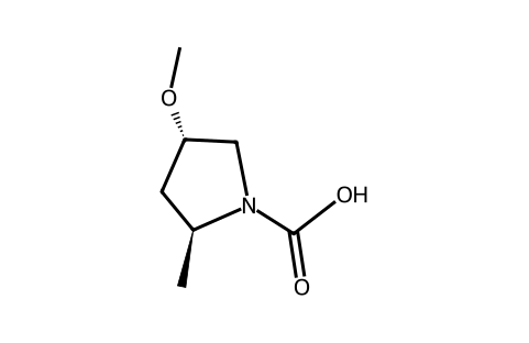 CO[C@H]1C[C@H](C)N(C(=O)O)C1